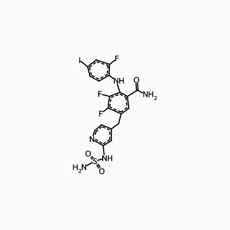 NC(=O)c1cc(Cc2ccnc(NS(N)(=O)=O)c2)c(F)c(F)c1Nc1ccc(I)cc1F